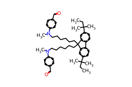 CCC(C)(C)c1ccc2c(c1)C(CCCCCCN(C)c1ccc(C=O)cc1)(CCCCCCN(C)c1ccc(C=O)cc1)c1cc(C(C)(C)CC)ccc1-2